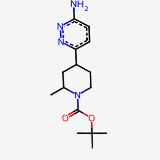 CC1CC(c2ccc(N)nn2)CCN1C(=O)OC(C)(C)C